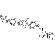 C[Si](C)(C)CCOCOc1ccc(N2Cc3nn(-c4ccc(N5CC[C@H](F)C5)nc4)cc3C2=O)nc1